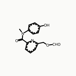 CN(C(=O)c1cccc(COC=O)n1)c1ccc(O)cc1